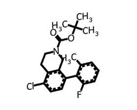 Cc1cccc(F)c1-c1ccc(Cl)c2c1CN(C(=O)OC(C)(C)C)CC2